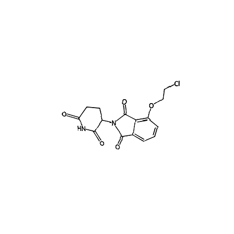 O=C1CCC(N2C(=O)c3cccc(OCCCl)c3C2=O)C(=O)N1